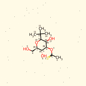 CC(=S)O[C@H]1[C@H](O)[C@@H](CO)OC(C(C)(C)C)[C@H]1O